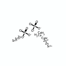 O=P([O-])([O-])[O-].O=P([O-])([O-])[O-].[CaH2].[CaH2].[CaH2].[Sr+2].[Sr+2].[Sr+2].[Zn].[Zn].[Zn]